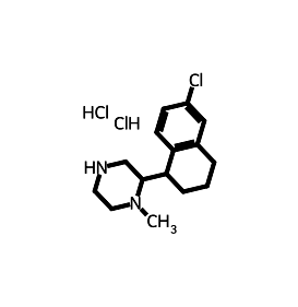 CN1CCNCC1C1CCCc2cc(Cl)ccc21.Cl.Cl